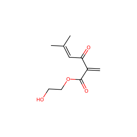 C=C(C(=O)C=C(C)C)C(=O)OCCO